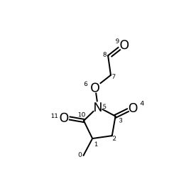 CC1CC(=O)N(OCC=O)C1=O